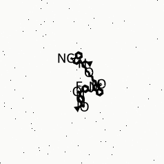 N#Cc1ccc(N(CCCOCCCCn2nc(Cc3ccc(F)c(C(=O)N4CCN(C(=O)C5CC5)CC4)c3)c3ccccc3c2=O)CC2CC2)c2ccccc12